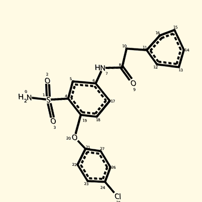 NS(=O)(=O)c1cc(NC(=O)Cc2ccccc2)ccc1Oc1ccc(Cl)cc1